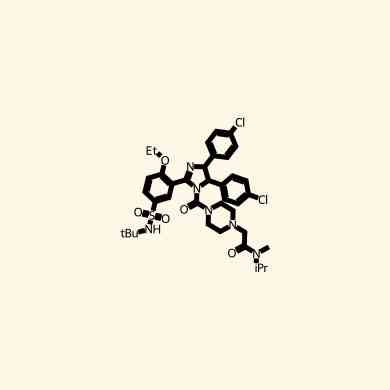 CCOc1ccc(S(=O)(=O)NC(C)(C)C)cc1C1=NC(c2ccc(Cl)cc2)C(c2ccc(Cl)cc2)N1C(=O)N1CCN(CC(=O)N(C)C(C)C)CC1